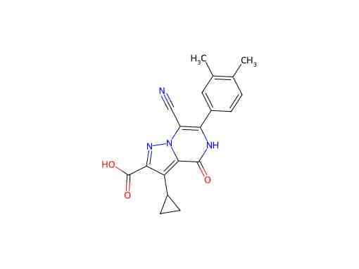 Cc1ccc(-c2[nH]c(=O)c3c(C4CC4)c(C(=O)O)nn3c2C#N)cc1C